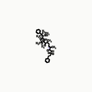 CN[C@H](C(=O)NC(C(=O)N(C)C/C=C(\C)C(=O)NS(=O)(=O)CCc1ccccc1)C(C)(C)C)C(C)(C)c1ccccc1